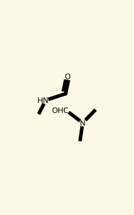 CN(C)C=O.CNC=O